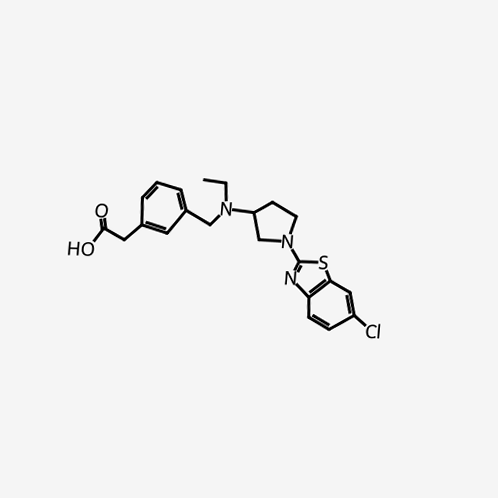 CCN(Cc1cccc(CC(=O)O)c1)C1CCN(c2nc3ccc(Cl)cc3s2)C1